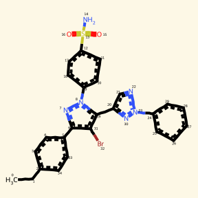 CCc1ccc(-c2nn(-c3ccc(S(N)(=O)=O)cc3)c(-c3cnn(-c4ccccc4)n3)c2Br)cc1